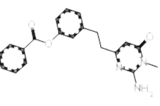 Cn1c(N)nc(CCc2cccc(OC(=O)c3ccccc3)c2)cc1=O